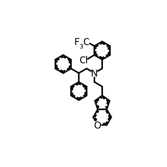 FC(F)(F)c1cccc(CN(CCc2cc3ccocc-3c2)CC(c2ccccc2)c2ccccc2)c1Cl